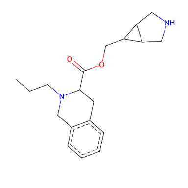 CCCN1Cc2ccccc2CC1C(=O)OCC1C2CNCC21